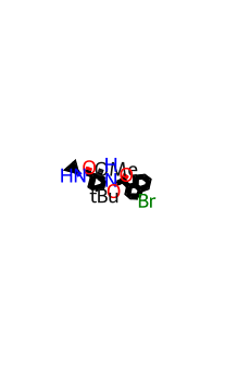 COc1c(NC(=O)C(=O)c2ccc(Br)c3ccccc23)cc(C(C)(C)C)cc1C(=O)NC1CC1